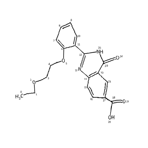 CCOCCOc1ccccc1-c1nc2ccc(C(=O)O)cc2c(=O)[nH]1